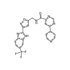 O=C(NCc1cc(-c2nc3ccc(C(F)(F)F)cc3[nH]2)no1)c1cc(-c2ccncc2)ncn1